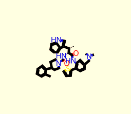 Cc1ccccc1C1CCN(C(=O)N[C@@H](C(=O)Nc2cc(CN(C)C)ccc2-c2cccs2)[C@@H](C)c2c[nH]c3ccccc23)CC1